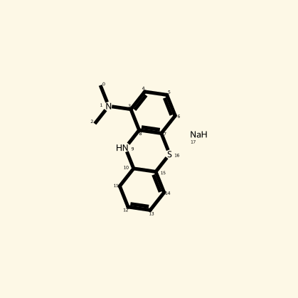 CN(C)c1cccc2c1NC1CC=CC=C1S2.[NaH]